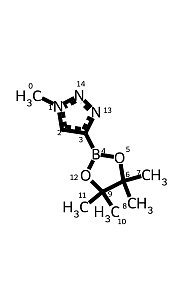 Cn1cc(B2OC(C)(C)C(C)(C)O2)nn1